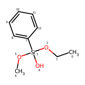 CCO[Si](O)(OC)c1ccccc1